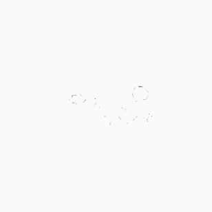 CCC[C@H](CNC(=O)c1onc(C)c1C)C(=O)N[C@@H]1C(=O)N2CCCN2Cc2ccccc21